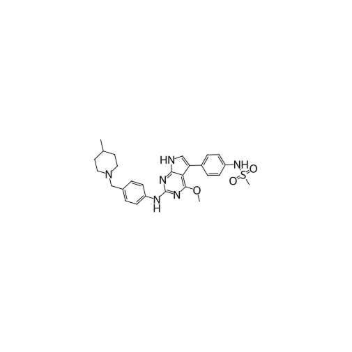 COc1nc(Nc2ccc(CN3CCC(C)CC3)cc2)nc2[nH]cc(-c3ccc(NS(C)(=O)=O)cc3)c12